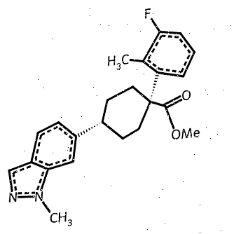 COC(=O)[C@]1(c2cccc(F)c2C)CC[C@@H](c2ccc3cnn(C)c3c2)CC1